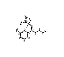 CC(C)(/C=C(/CCCCl)c1cncc(F)c1)[S@@+](N)[O-]